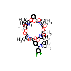 CCN(CC)C(c1ccc(C[C@H]2OC(=O)[C@H](CC(C)C)N(C)C(=O)[C@@H](C)OC(=O)[C@H](CC(C)C)N(C)C(=O)[C@@H](Cc3ccccc3)OC(=O)[C@H](CC(C)C)N(C)C(=O)[C@@H](C)OC(=O)[C@H](CC(C)C)N(C)C2=O)cc1)c1ccc(F)c(F)c1